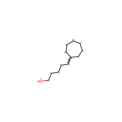 OCCCCC=C1CCCCCC1